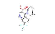 O=C(O)c1cnc2cc(C(F)(F)F)ccc2c1N1CCCCC1